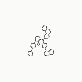 c1ccc(-c2ccc3c(c2)oc2c(N(c4ccc(-c5cccc6ccccc56)cc4)c4ccc5ccc6ccccc6c5c4)cccc23)cc1